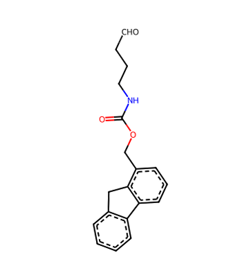 O=CCCCNC(=O)OCc1cccc2c1Cc1ccccc1-2